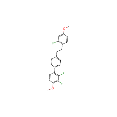 COc1ccc(CCc2ccc(-c3ccc(OC)c(F)c3F)cc2)c(F)c1